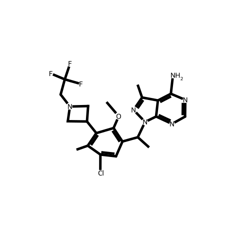 COc1c(C(C)n2nc(C)c3c(N)ncnc32)cc(Cl)c(C)c1C1CN(CC(F)(F)F)C1